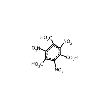 O=C(O)c1c([N+](=O)[O-])c(C(=O)O)c([N+](=O)[O-])c(C(=O)O)c1[N+](=O)[O-]